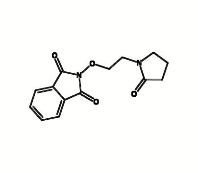 O=C1CCCN1CCON1C(=O)c2ccccc2C1=O